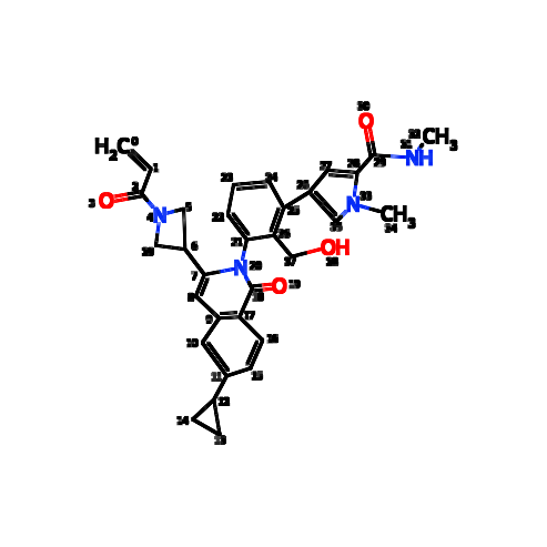 C=CC(=O)N1CC(c2cc3cc(C4CC4)ccc3c(=O)n2-c2cccc(-c3cc(C(=O)NC)n(C)c3)c2CO)C1